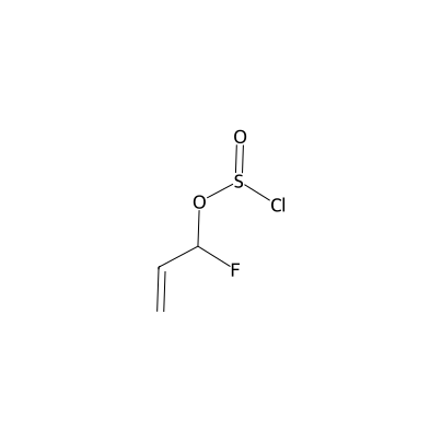 C=CC(F)OS(=O)Cl